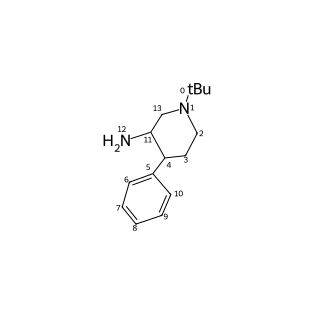 CC(C)(C)N1CCC(c2ccccc2)C(N)C1